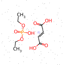 CCOP(=O)(O)OCC.O=C(O)/C=C/C(=O)O